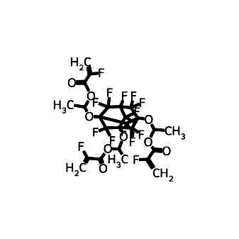 C=C(F)C(=O)OC(C)OC12C(F)(F)C3(F)C(F)(F)C(OC(C)OC(=O)C(=C)F)(C1(F)F)C(F)(F)C(OC(C)OC(=O)C(=C)F)(C3(F)F)C2(F)F